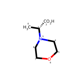 C[C@H](C(=O)O)N1CCOCC1